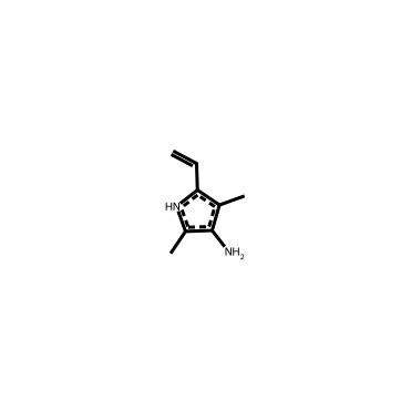 C=Cc1[nH]c(C)c(N)c1C